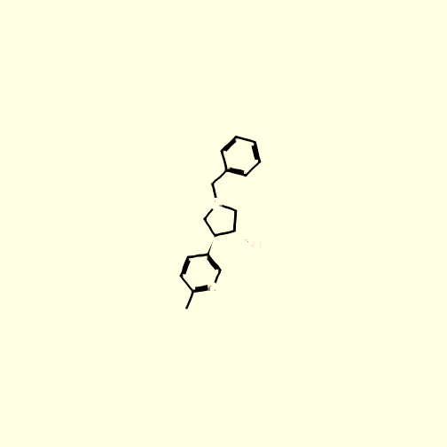 Cc1ccc([C@H]2CN(Cc3ccccc3)C[C@@H]2N)cn1